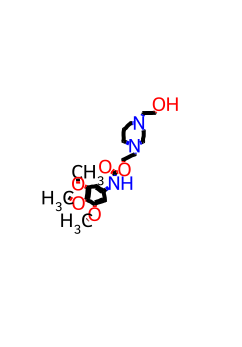 COc1cc(NC(=O)OCCN2CCCN(CCO)CC2)cc(OC)c1OC